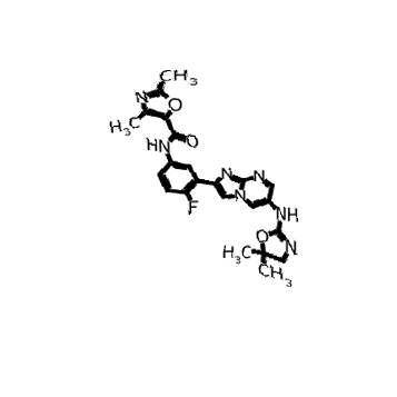 Cc1nc(C)c(C(=O)Nc2ccc(F)c(-c3cn4cc(NC5=NCC(C)(C)O5)cnc4n3)c2)o1